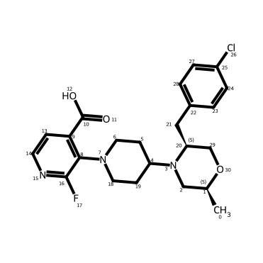 C[C@H]1CN(C2CCN(c3c(C(=O)O)ccnc3F)CC2)[C@@H](Cc2ccc(Cl)cc2)CO1